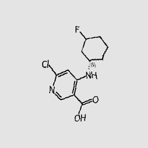 O=C(O)c1cnc(Cl)cc1N[C@H]1CCCC(F)C1